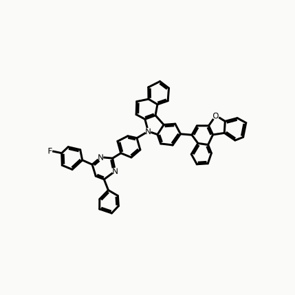 Fc1ccc(-c2cc(-c3ccccc3)nc(-c3ccc(-n4c5ccc(-c6cc7oc8ccccc8c7c7ccccc67)cc5c5c6ccccc6ccc54)cc3)n2)cc1